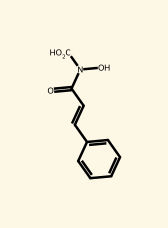 O=C(O)N(O)C(=O)C=Cc1ccccc1